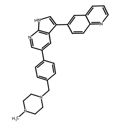 CN1CCN(Cc2ccc(-c3cnc4[nH]cc(-c5ccc6ncccc6c5)c4c3)cc2)CC1